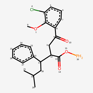 COc1c(Cl)cccc1C(=O)CC(C(=O)OP)C(CC(C)C)c1ccccc1